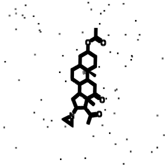 CC(=O)OC1CC[C@@]2(C)C(CCC3C4CC(N5CC5)C(C(C)=O)C4(C)C(=O)CC32)C1